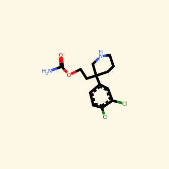 NC(=O)OCCC1(c2ccc(Cl)c(Cl)c2)CCCNC1